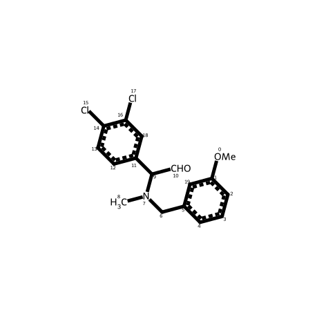 COc1cccc(CN(C)C(C=O)c2ccc(Cl)c(Cl)c2)c1